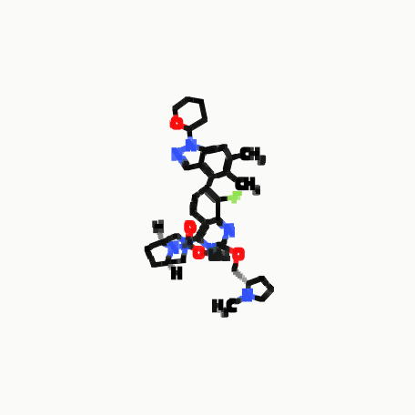 Cc1cc2c(cnn2C2CCCCO2)c(-c2ccc3c(N4C[C@H]5CC[C@@H](C4)N5C(=O)OC(C)(C)C)nc(OC[C@@H]4CCCN4C)nc3c2F)c1C